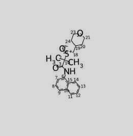 CC(C)(C(=O)Nc1cccc2ccccc12)[S+]([O-])CC1CCOCC1